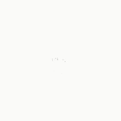 COC(=O)C(=NNCc1ccccc1)c1ccccc1